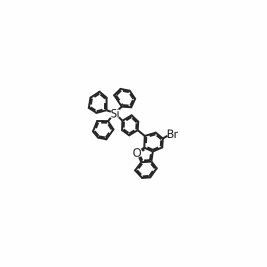 Brc1cc(-c2ccc([Si](c3ccccc3)(c3ccccc3)c3ccccc3)cc2)c2oc3ccccc3c2c1